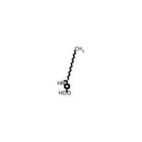 CCCCCCCCCCCCCCC[C@@H]1CNc2cc(C(=O)O)ccc21